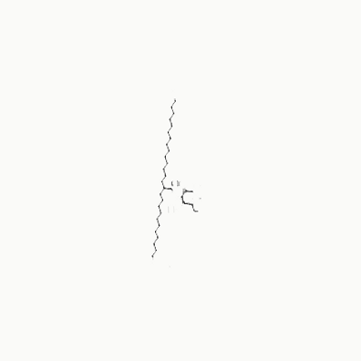 CCCCCCCCCCCCCCCC(CCCCCCCCCCCC)C(=O)O[C@@H]([C@H](O)[C@H](O)CO)[C@@H](O)C=O